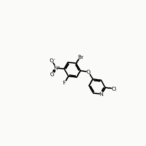 O=[N+]([O-])c1cc(Br)c(Oc2ccnc(Cl)c2)cc1F